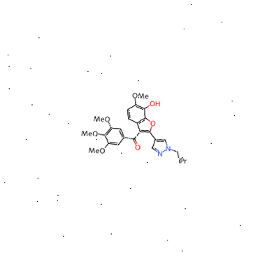 COc1cc(C(=O)c2c(-c3cnn(CC(C)C)c3)oc3c(O)c(OC)ccc23)cc(OC)c1OC